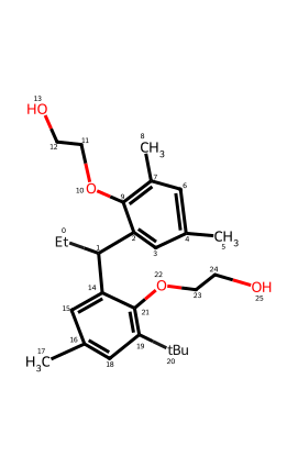 CCC(c1cc(C)cc(C)c1OCCO)c1cc(C)cc(C(C)(C)C)c1OCCO